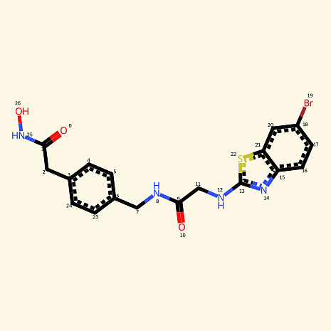 O=C(Cc1ccc(CNC(=O)CNc2nc3ccc(Br)cc3s2)cc1)NO